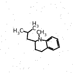 CC(C)CC1CCc2ccccc2N1C